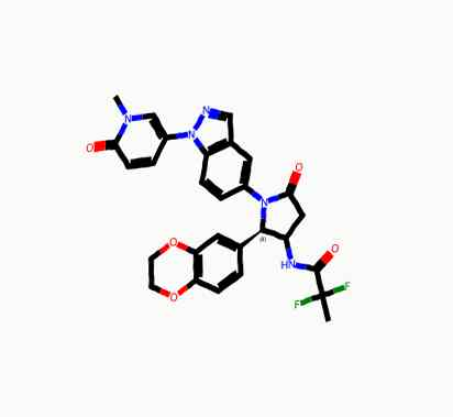 Cn1cc(-n2ncc3cc(N4C(=O)CC(NC(=O)C(C)(F)F)[C@H]4c4ccc5c(c4)OCCO5)ccc32)ccc1=O